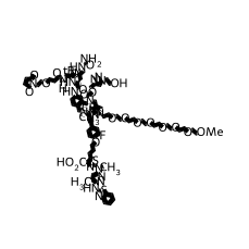 COCCOCCOCCOCCOCCOCCOCCOCCn1cc(CN(Cc2cc(NC(=O)[C@H](CCCNC(N)=O)NC(=O)[C@@H](NC(=O)CCOCCN3C(=O)C=CC3=O)C(C)(C)C)ccc2C[N+](C)(C)CC#Cc2ccc(OCCCc3sc(N(C)c4cc(C)c(Nc5nc6ccccc6s5)nn4)nc3C(=O)O)c(F)c2)C(=O)OCc2cn(CCO)nn2)nn1